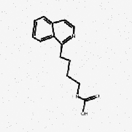 O=C(O)NCCCCc1nccc2ccccc12